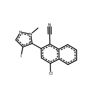 Cn1ncc(I)c1-c1cc(Cl)c2ccccc2c1C#N